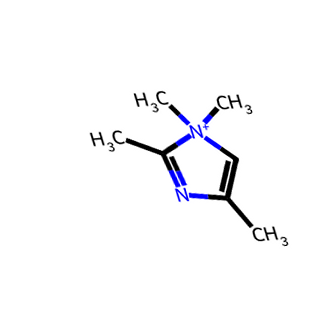 CC1=C[N+](C)(C)C(C)=N1